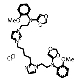 COc1ccccc1N(CCN1C=C[N+]=C1CCCC[n+]1ccn(CCN(C2=COCO2)c2ccccc2OC)c1)C1=COCO1.[Cl-].[Cl-]